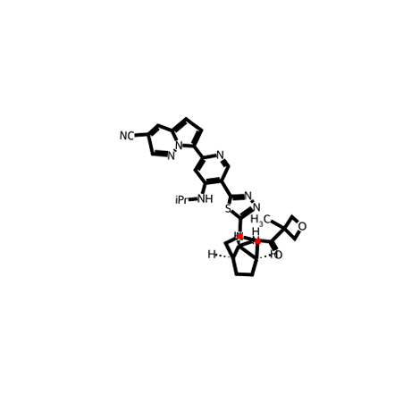 CC(C)Nc1cc(-c2ccc3cc(C#N)cnn23)ncc1-c1nnc(N2C[C@H]3CC[C@@H](C2)[C@@H]3NC(=O)C2(C)COC2)s1